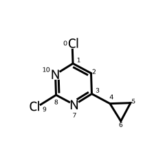 Clc1cc(C2CC2)nc(Cl)n1